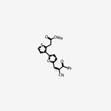 COC(=O)Cc1sccc1-c1ccc(/C=C(/C#N)C(=O)C(C)C)o1